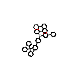 c1ccc(-c2ccc(N(c3ccc(-c4ccc5c(c4)C(c4ccccc4)(c4ccccc4)c4ccccc4-5)cc3)c3ccccc3-c3cccc4cccc(C5CCCCC5)c34)cc2)cc1